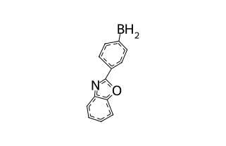 Bc1ccc(-c2nc3ccccc3o2)cc1